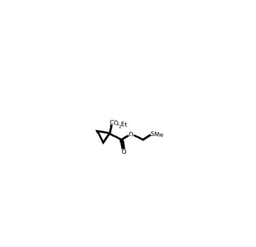 CCOC(=O)C1(C(=O)OCSC)CC1